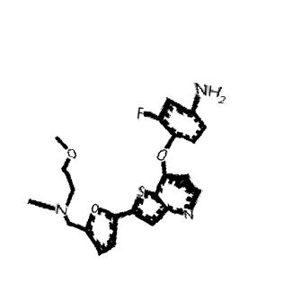 COCCN(C)Cc1ccc(-c2cc3nccc(Oc4ccc(N)cc4F)c3s2)o1